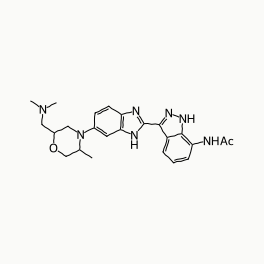 CC(=O)Nc1cccc2c(-c3nc4ccc(N5CC(CN(C)C)OCC5C)cc4[nH]3)n[nH]c12